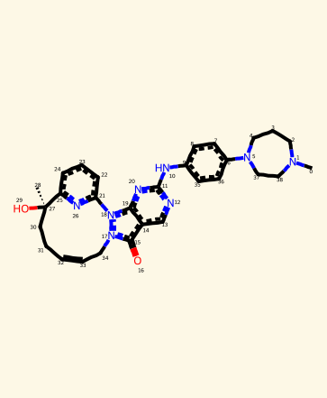 CN1CCCN(c2ccc(Nc3ncc4c(=O)n5n(c4n3)-c3cccc(n3)[C@](C)(O)CC/C=C\C5)cc2)CC1